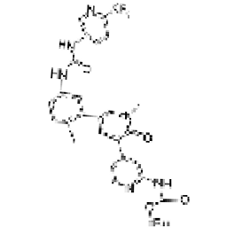 Cc1ccc(NC(=O)Nc2ccc(C(F)(F)F)nc2)cc1-c1cc(-c2ccnc(NC(=O)OC(C)(C)C)c2)c(=O)n(C)c1